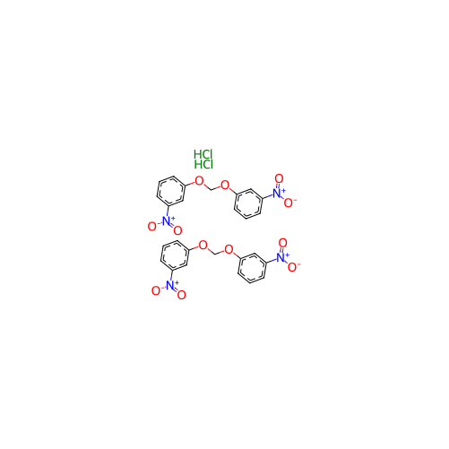 Cl.Cl.O=[N+]([O-])c1cccc(OCOc2cccc([N+](=O)[O-])c2)c1.O=[N+]([O-])c1cccc(OCOc2cccc([N+](=O)[O-])c2)c1